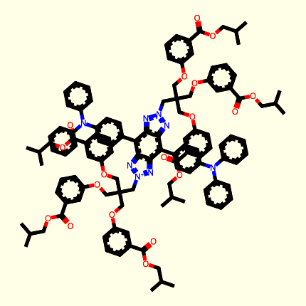 CC(C)COC(=O)c1cccc(OCC(COc2cccc(C(=O)OCC(C)C)c2)(COc2cccc(C(=O)OCC(C)C)c2)Cn2nc3c(-c4ccc(N(c5ccccc5)c5ccccc5)cc4)c4n[n+](CC(COc5cccc(C(=O)OCC(C)C)c5)(COc5cccc(C(=O)OCC(C)C)c5)COc5cccc(C(=O)OCC(C)C)c5)[n-]c4c(-c4ccc(N(c5ccccc5)c5ccccc5)cc4)c3n2)c1